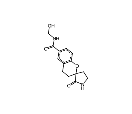 O=C(NCO)c1ccc2c(c1)CCC1(CCNC1=O)O2